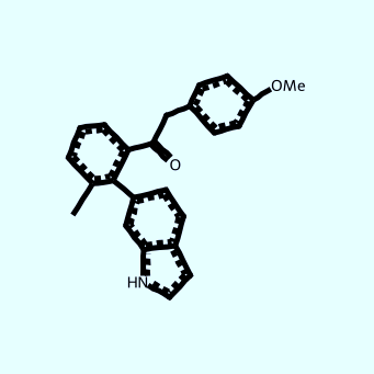 COc1ccc(CC(=O)c2cccc(C)c2-c2ccc3cc[nH]c3c2)cc1